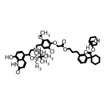 COc1cc(OCC(=O)OCCCc2cccc(C3(C(=O)O[C@H]4CN5CCC4CC5)CCCCC3)c2)c(Cl)cc1CNCC(O[Si](C)(C)C(C)(C)C)c1ccc(O)c2[nH]c(=O)ccc12